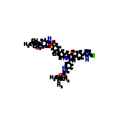 Cc1cc(S(=O)(=O)NC2CCN(C(=O)OC(C)(C)C)CC2)ccc1-c1cccc(C[C@H](NC(=O)[C@H]2CC[C@H](CNC(=O)OC(C)(C)C)CC2)C(=O)Nc2ccc(-c3nnc(Cl)[nH]3)cc2)c1